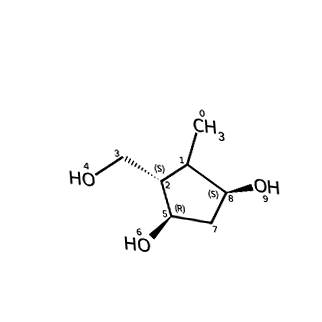 CC1[C@@H](CO)[C@H](O)C[C@@H]1O